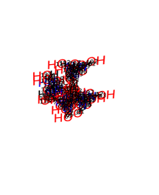 CC(=O)N(CC(O)COCC(COCC(O)CN(C(C)=O)c1c(I)c(C(=O)N(O)CCCO)c(I)c(C(=O)N(O)CCCO)c1I)(COCC(O)CN(C(C)=O)c1c(I)c(C(=O)N(O)CCCO)c(I)c(C(=O)N(O)CCCO)c1I)COCC(O)CN(C(C)=O)c1c(I)c(C(=O)N(O)CCCO)c(I)c(C(=O)N(O)CCCO)c1I)c1c(I)c(C(=O)NCC(O)CO)c(I)c(C(=O)NCC(O)CO)c1I